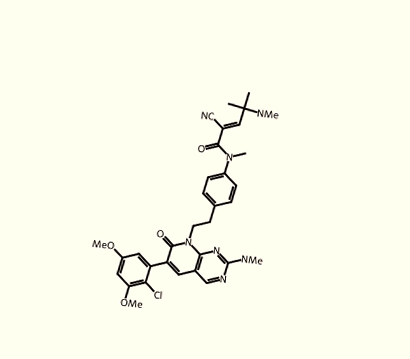 CNc1ncc2cc(-c3cc(OC)cc(OC)c3Cl)c(=O)n(CCc3ccc(N(C)C(=O)C(C#N)=CC(C)(C)NC)cc3)c2n1